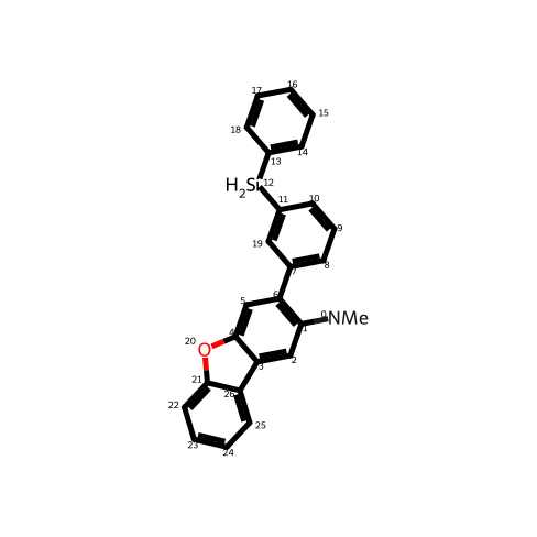 CNc1cc2c(cc1-c1cccc([SiH2]c3ccccc3)c1)oc1ccccc12